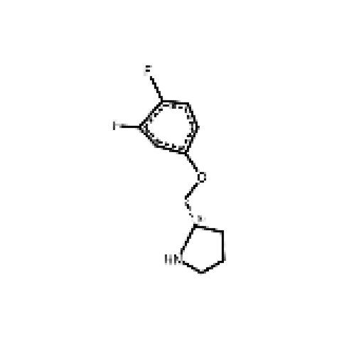 Fc1ccc(OC[C@@H]2CCCN2)cc1F